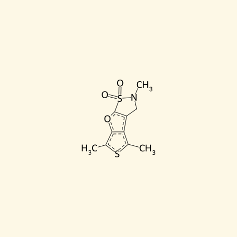 Cc1sc(C)c2c3c(oc12)S(=O)(=O)N(C)C3